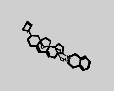 C[C@]12CC=C3C=C4CC[C@@H](N5CCC5)C[C@]45CC[C@]3(O5)[C@@H]1CC[C@@H]2N1CCc2ccccc2C1